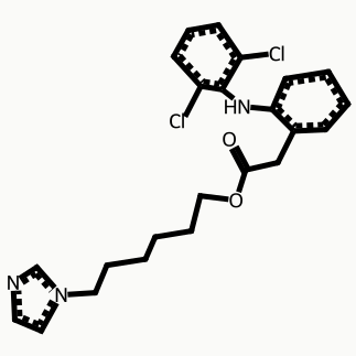 O=C(Cc1ccccc1Nc1c(Cl)cccc1Cl)OCCCCCCn1ccnc1